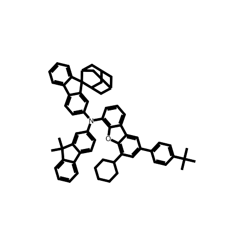 CC(C)(C)c1ccc(-c2cc(C3CCCCC3)c3oc4c(N(c5ccc6c(c5)C(C)(C)c5ccccc5-6)c5ccc6c(c5)C5(c7ccccc7-6)C6CC7CC(C6)CC5C7)cccc4c3c2)cc1